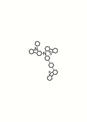 c1ccc(-n2c3ccccc3c3ccc(N(c4ccc(-c5ccc(-c6cccc7c6sc6ccccc67)cc5)cc4)c4cccc5c4sc4ccccc45)cc32)cc1